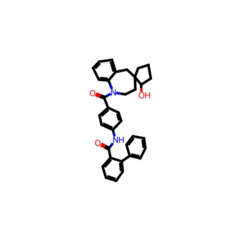 O=C(Nc1ccc(C(=O)N2CCC3(CCCC3O)Cc3ccccc32)cc1)c1ccccc1-c1ccccc1